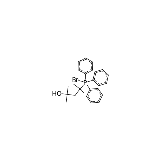 CC(C)(O)CC(C)(C)P(Br)(c1ccccc1)(c1ccccc1)c1ccccc1